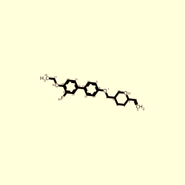 C=CC1CCC(COc2ccc(-c3ccc(OCC)c(F)c3)cc2)CO1